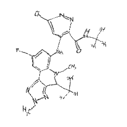 [2H]C([2H])([2H])NC(=O)c1nnc(Cl)cc1Nc1cc(F)cc2c1N(C)C(C([2H])([2H])[2H])c1nn(C)nc1-2